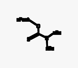 CCCCCOC(=S)N(CCCC)CCCC